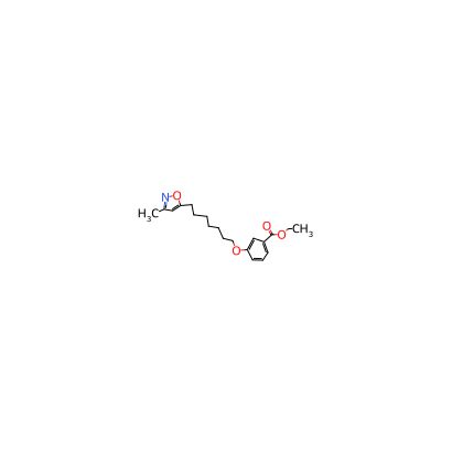 CCOC(=O)c1cccc(OCCCCCCCc2cc(C)no2)c1